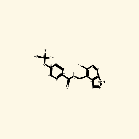 O=C(NCc1c(F)ccc2[nH]ncc12)c1ccc(OC(F)(F)F)cc1